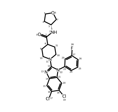 O=C(N[C@@H]1CCOC1)C1CCN(c2nc3cc(Cl)c(Cl)cc3n2-c2cccc(F)c2)CC1